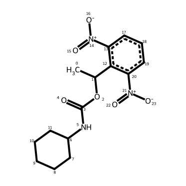 CC(OC(=O)NC1CCCCC1)c1c([N+](=O)[O-])cccc1[N+](=O)[O-]